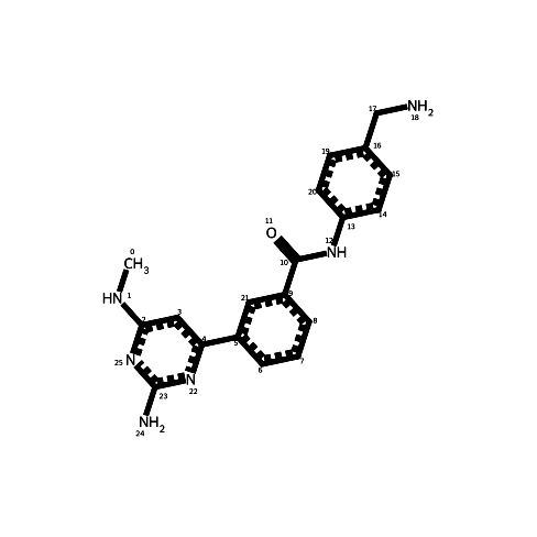 CNc1cc(-c2cccc(C(=O)Nc3ccc(CN)cc3)c2)nc(N)n1